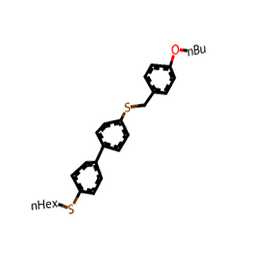 CCCCCCSc1ccc(-c2ccc(SCc3ccc(OCCCC)cc3)cc2)cc1